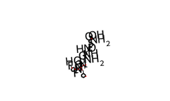 CC(C)(C)C(c1nn(-c2cc(F)ccc2F)cc1Cc1ccccc1)N(CCC(N)C(=O)NCCNC(=O)CSCC(N)C(=O)O)C(=O)CO